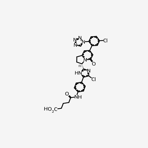 O=C(O)CCCC(=O)Nc1ccc(-c2[nH]c([C@@H]3CCc4cc(-c5cc(Cl)ccc5-n5cnnn5)cc(=O)n43)nc2Cl)cc1